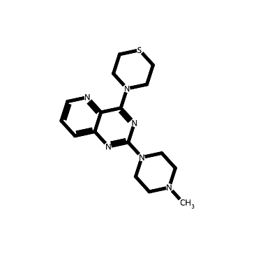 CN1CCN(c2nc(N3CCSCC3)c3ncccc3n2)CC1